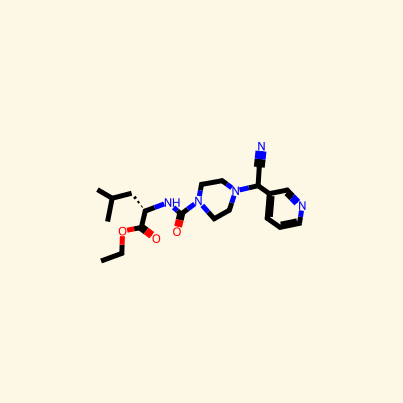 CCOC(=O)[C@H](CC(C)C)NC(=O)N1CCN(C(C#N)c2cccnc2)CC1